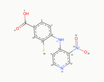 O=C(O)c1ccc(Nc2ccncc2[N+](=O)[O-])c(F)c1